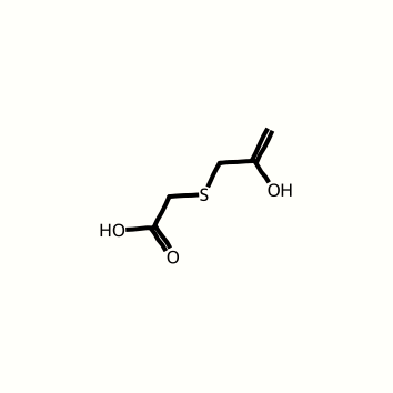 C=C(O)CSCC(=O)O